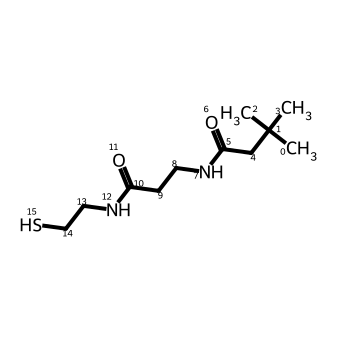 CC(C)(C)CC(=O)NCCC(=O)NCCS